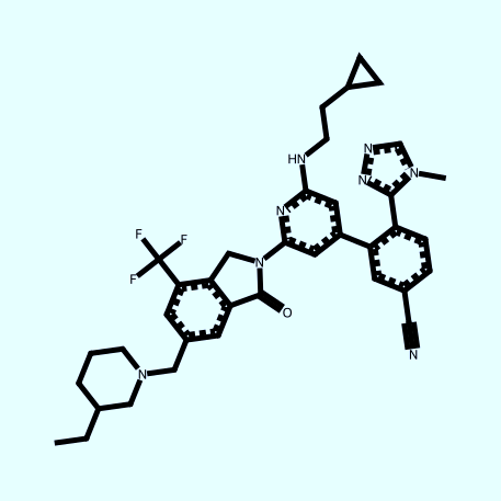 CCC1CCCN(Cc2cc3c(c(C(F)(F)F)c2)CN(c2cc(-c4cc(C#N)ccc4-c4nncn4C)cc(NCCC4CC4)n2)C3=O)C1